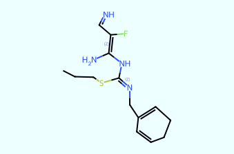 CCCS/C(=N\CC1=CCCC=C1)N/C(N)=C(\F)C=N